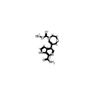 CC(C)(C)OC(=O)N1C=C(c2cnc(C(N)=O)c3[nH]ccc23)COCC1